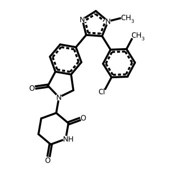 Cc1ccc(Cl)cc1-c1c(-c2ccc3c(c2)CN(C2CCC(=O)NC2=O)C3=O)ncn1C